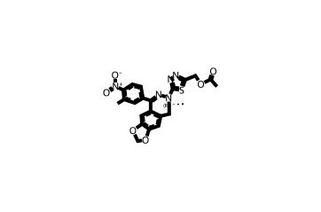 CC(=O)OCc1nnc(N2N=C(c3ccc([N+](=O)[O-])c(C)c3)c3cc4c(cc3C[C@H]2C)OCO4)s1